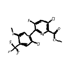 COC(=O)c1nc(-c2cc(SC)c(C(F)(F)F)cc2Cl)c(F)cc1Cl